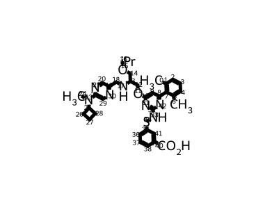 Cc1cccc(C)c1-c1cc(OCC(COC(C)C)NCc2cnc(N(C)C3CCC3)cn2)nc(NSc2cccc(C(=O)O)c2)n1